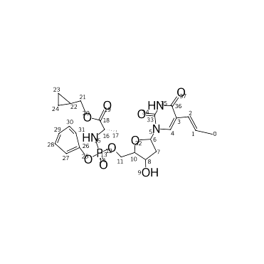 C/C=C/c1cn(C2CC(O)C(COP(=O)(N[C@@H](C)C(=O)OCC3CC3)Oc3ccccc3)O2)c(=O)[nH]c1=O